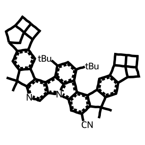 CC(C)(C)c1cc(C(C)(C)C)c2c3c4c(c(C#N)cc3n3c5cnc6c(c5c1c23)-c1cc2c(cc1C6(C)C)C1CC3CC5CC2C35C1)C(C)(C)c1cc2c(cc1-4)C1CC3CC4CC2C341